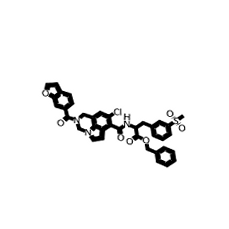 CS(=O)(=O)c1cccc(CC(NC(=O)c2c(Cl)cc3c4c2ccn4CN(C(=O)c2ccc4ccoc4c2)C3)C(=O)OCc2ccccc2)c1